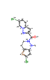 CN1c2cc(Br)sc2CCN1C(=O)c1cc2ccc(Br)cn2n1